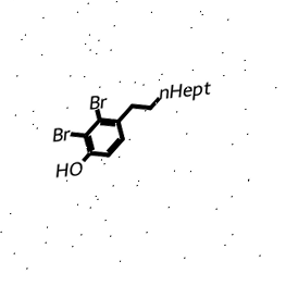 CCCCCCCCCc1ccc(O)c(Br)c1Br